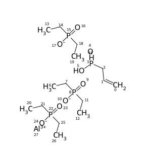 C=CC[PH](=O)O.CCP(=O)([O-])CC.CCP(=O)([O-])CC.CCP(=O)([O-])CC.[Al+3]